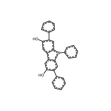 Oc1cc2c3cc(O)c(-c4ccccc4)cc3n(-c3ccccc3)c2cc1-c1ccccc1